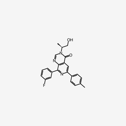 Cc1ccc(-c2cc3c(=O)n([C@@H](C)CO)cnc3c(-c3cccc(F)c3)n2)cc1